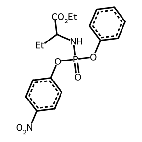 CCOC(=O)C(CC)NP(=O)(Oc1ccccc1)Oc1ccc([N+](=O)[O-])cc1